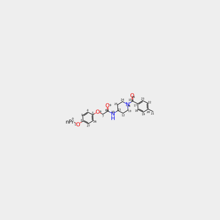 CCCOc1ccc(OCC(=O)NC2CCN(C(=O)c3ccc(C)cc3)CC2)cc1